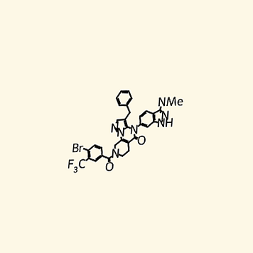 CNc1n[nH]c2cc(-n3c(=O)c4c(n5ncc(Cc6ccccc6)c35)CN(C(=O)c3ccc(Br)c(C(F)(F)F)c3)CC4)ccc12